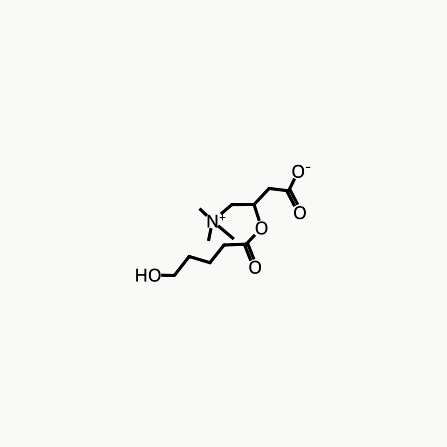 C[N+](C)(C)CC(CC(=O)[O-])OC(=O)CCCCO